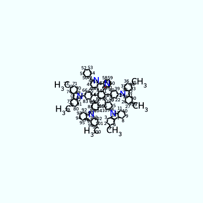 Cc1ccc2c(c1)c1ccccc1n2-c1ccc(-c2c(-c3ccc(-n4c5ccc(C)cc5c5cc(C)ccc54)cc3)c(C#N)c(-c3ccc(-c4ccccc4)nc3-c3ccccc3)c(-c3ccc(-n4c5ccc(C)cc5c5cc(C)ccc54)cc3)c2-c2ccc(-n3c4ccccc4c4cc(C)ccc43)cc2)cc1